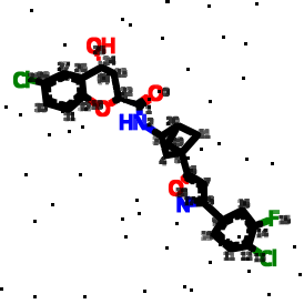 O=C(NC1CC2(c3cc(-c4ccc(Cl)c(F)c4)no3)CC1C2)[C@@H]1C[C@@H](O)c2cc(Cl)ccc2O1